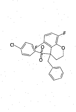 O=S(=O)(c1ccc(Cl)cc1)C1(Cc2ccccc2)CCOc2c(F)ccc(F)c21